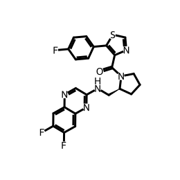 O=C(c1ncsc1-c1ccc(F)cc1)N1CCC[C@H]1CNc1cnc2cc(F)c(F)cc2n1